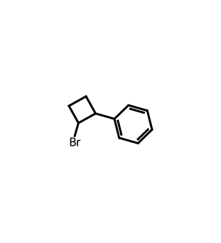 BrC1CCC1c1ccccc1